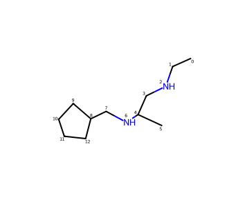 CCNCC(C)NCC1CCCC1